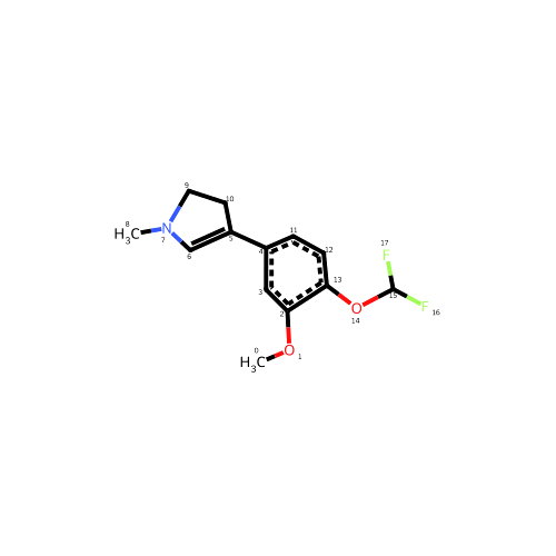 COc1cc(C2=CN(C)CC2)ccc1OC(F)F